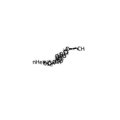 C#CC#CC#COc1ccc(OC(=O)C2CO[C@H]3[C@@H]2OC[C@H]3OOCc2ccc(OCCCCCC)cc2)cc1